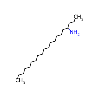 CCCCCCCCCCCCCCCCC(N)CCC